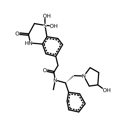 CN(C(=O)Cc1ccc2c(c1)NC(=O)CS2(O)O)[C@H](CN1CCC(O)C1)c1ccccc1